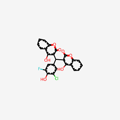 O=c1oc2ccccc2c(O)c1C(c1cc(F)c(O)c(Cl)c1)c1c(O)c2ccccc2oc1=O